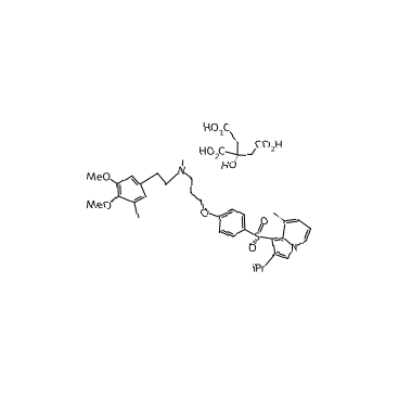 COc1cc(CCN(C)CCCOc2ccc(S(=O)(=O)c3c(C(C)C)cn4cccc(C)c34)cc2)cc(C)c1OC.O=C(O)CC(O)(CC(=O)O)C(=O)O